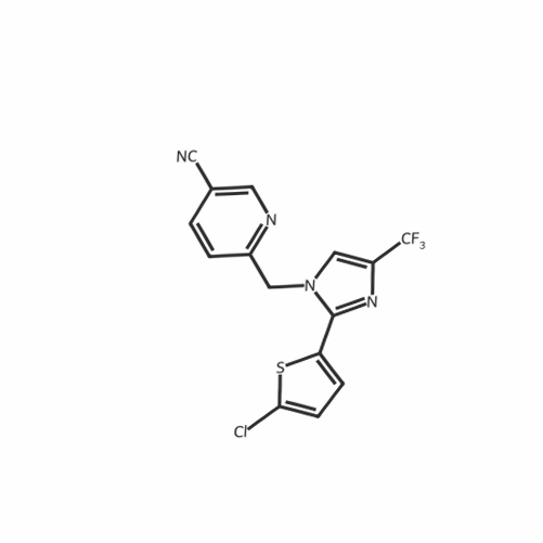 N#Cc1ccc(Cn2cc(C(F)(F)F)nc2-c2ccc(Cl)s2)nc1